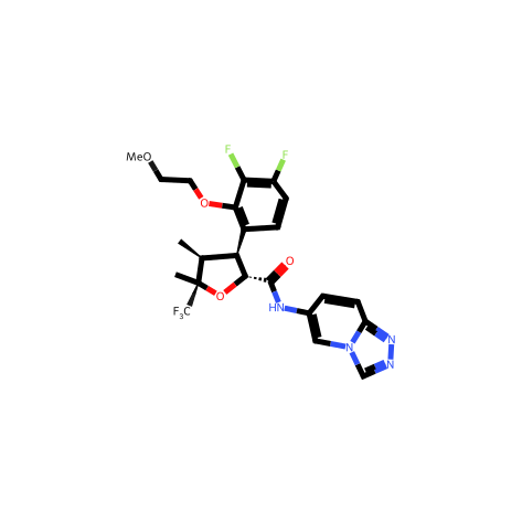 COCCOc1c([C@H]2[C@H](C(=O)Nc3ccc4nncn4c3)O[C@@](C)(C(F)(F)F)[C@H]2C)ccc(F)c1F